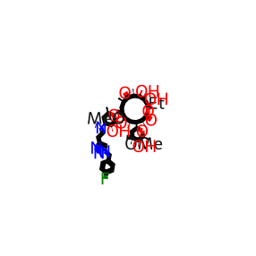 CC[C@H]1OC(=O)[C@H](C)[C@@H](C2C[C@@](C)(OC)[C@@H](O)[C@H](C)O2)[C@H](C)[C@@H](O[C@@H]2O[C@H](C)C[C@H](N(C)CCc3cn(Cc4ccc(F)cc4)nn3)[C@H]2O)[C@](C)(OC)C[C@@H](C)C(=O)[C@H](C)[C@@H](O)[C@]1(C)O